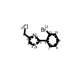 ClCc1csc(-c2ccccc2Br)n1